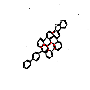 c1ccc(-c2ccc(-c3ccc(N(c4ccccc4-c4ccc5oc6ccccc6c5c4)c4ccccc4-c4ccccc4-c4cccc5ccccc45)cc3)cc2)cc1